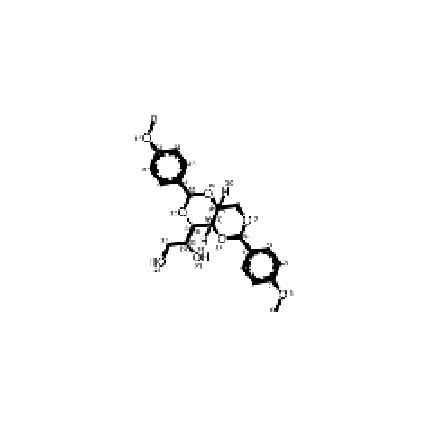 COc1ccc(C2OC[C@H]3OC(c4ccc(OC)cc4)O[C@@H]([C@@H](O)CO)[C@H]3O2)cc1